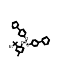 CCC(C)(C)c1cc(C)ccc1OP(Oc1ccc(-c2ccccc2)cc1)Oc1ccc(-c2ccccc2)cc1